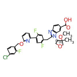 CO[C@]1(C)COC[C@@H]1n1c(Cc2cc(F)c(-c3cccc(OCc4ccc(Cl)cc4F)n3)cc2F)nc2ccc(C(=O)O)cc21